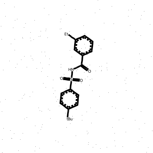 CCc1cccc(C(=O)NS(=O)(=O)c2ccc(C(C)(C)C)cc2)c1